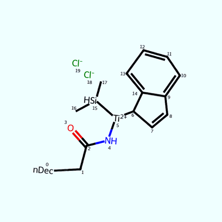 CCCCCCCCCCCC(=O)[NH][Ti+2]([CH]1C=Cc2ccccc21)[SiH](C)C.[Cl-].[Cl-]